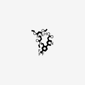 CCOc1cc(OCC)nc(CC(=O)N(CC)Cc2cc(C(F)(F)F)ccc2-c2cncc(CC(=O)O)c2)n1